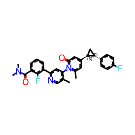 Cc1cnc(-c2cccc(C(=O)N(C)C)c2F)cc1-n1c(C)cc([C@H]2C[C@@H]2c2ccc(F)cc2)cc1=O